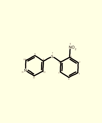 O=[N+]([O-])c1ccccc1Sc1ccncc1